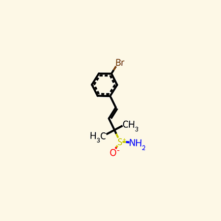 CC(C)(C=Cc1cccc(Br)c1)[S+](N)[O-]